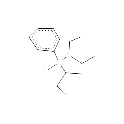 CCC(C)[Si](Cl)(c1ccccc1)N(CC)CC